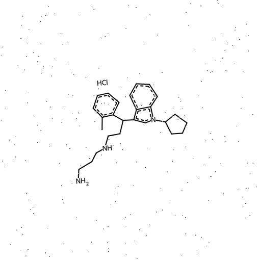 Cc1ccccc1C(CCNCCCN)c1cn(C2CCCC2)c2ccccc12.Cl